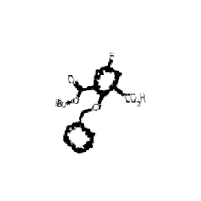 CCC(C)OC(=O)c1cc(F)cc(C(=O)O)c1OCc1ccccc1